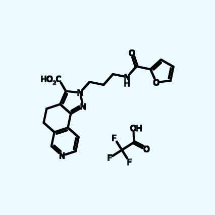 O=C(NCCCn1nc2c(c1C(=O)O)CCc1cnccc1-2)c1ccco1.O=C(O)C(F)(F)F